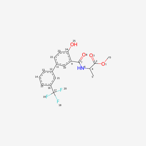 COC(=O)C(C)NC(=O)c1cc(-c2cccc(C(F)(F)F)c2)ccc1O